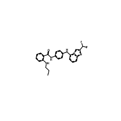 O=C(Nc1ccc(Nc2cccc3nc(C(F)F)cn23)cc1)c1ccccc1NCCF